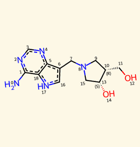 Nc1ncnc2c(CN3C[C@H](CO)[C@H](O)C3)c[nH]c12